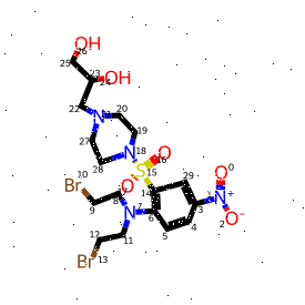 O=[N+]([O-])c1ccc(N(CCBr)CCBr)c(S(=O)(=O)N2CCN(CC(O)CO)CC2)c1